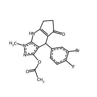 CC(=O)Oc1nn(C)c2c1C(c1ccc(F)c(Br)c1)C1=C(CCC1=O)N2